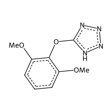 COc1cccc(OC)c1Oc1nnn[nH]1